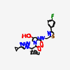 CC(C)(C)[C@@H](C(=O)N1CC(O)CC1C(=O)NCc1nc(-c2ccc(F)cc2)cs1)n1cc(C2CC2)nn1